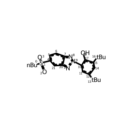 CCCCS(=O)(=O)c1ccc2nn(-c3cc(C(C)(C)C)cc(C(C)(C)C)c3O)nc2c1